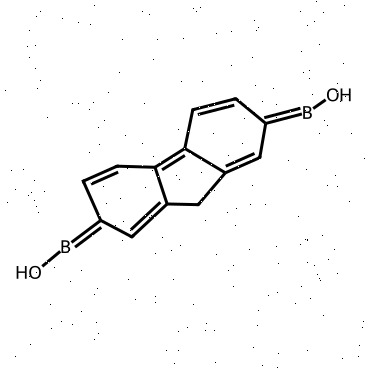 O/B=c1\ccc2c(c1)Cc1c/c(=B/O)ccc1=2